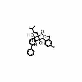 Cc1cc(F)ccc1CC(O)(c1cccc(-c2ccccc2)n1)C(C=CC(C)C)(C(=O)O)[PH](=O)O